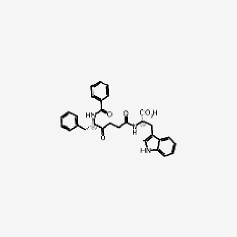 O=C(CCC(=O)[C@H](Cc1ccccc1)NC(=O)c1ccccc1)N[C@@H](Cc1c[nH]c2ccccc12)C(=O)O